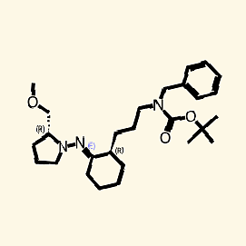 COC[C@H]1CCCN1/N=C1\CCCC[C@@H]1CCCN(Cc1ccccc1)C(=O)OC(C)(C)C